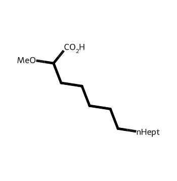 CCCCCCCCCCCCC(OC)C(=O)O